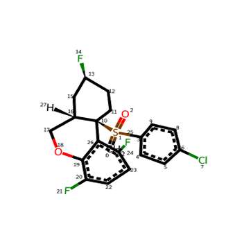 C=S(=O)(c1ccc(Cl)cc1)[C@]12CC[C@H](F)C[C@H]1COc1c(F)ccc(F)c12